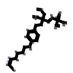 NC(CO)(CCc1ccc(OCCCC/C=C\I)cc1)COP(=O)(O)O